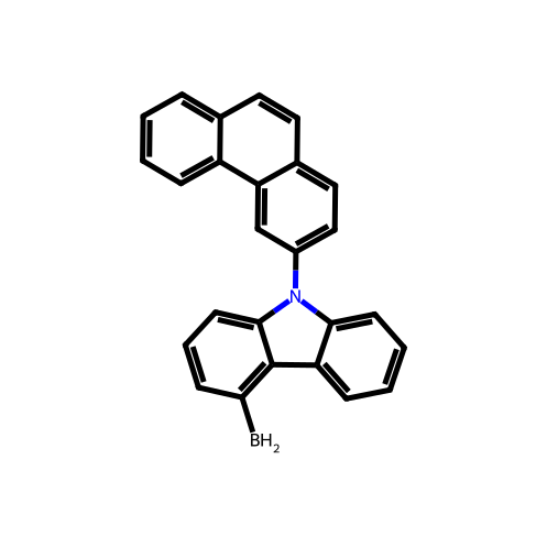 Bc1cccc2c1c1ccccc1n2-c1ccc2ccc3ccccc3c2c1